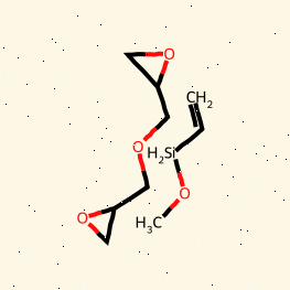 C(OCC1CO1)C1CO1.C=C[SiH2]OC